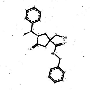 C[C@@H](c1ccccc1)N1CC(CO)(C(=O)NCc2ccccc2)CC1=O